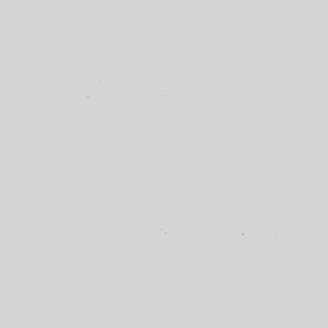 C[Si](C)(C)c1ccc2c(c1)c1cc(-c3ccc4c(c3)c3cc([Si](C)(C)C)ccc3n4-c3cccc4sc5ccccc5c34)ccc1n2-c1cccc2oc3ccccc3c12